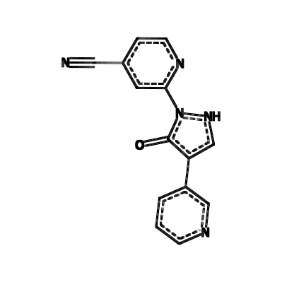 N#Cc1ccnc(-n2[nH]cc(-c3cccnc3)c2=O)c1